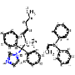 C=CB(c1ccccc1)c1ccccc1.CCCC=C[SiH](C)C(c1ccccc1)(c1ccccc1)n1ccnc1